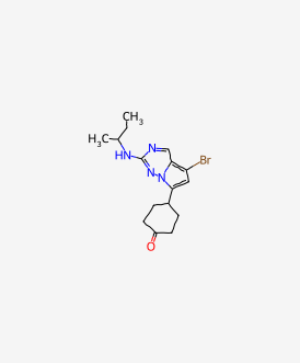 CCC(C)Nc1ncc2c(Br)cc(C3CCC(=O)CC3)n2n1